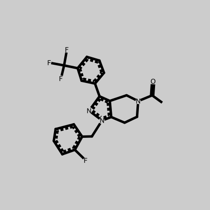 CC(=O)N1CCc2c(c(-c3cccc(C(F)(F)F)c3)nn2Cc2ccccc2F)C1